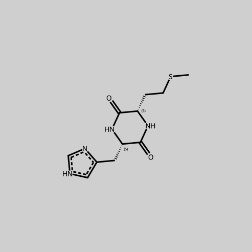 CSCC[C@@H]1NC(=O)[C@H](Cc2c[nH]cn2)NC1=O